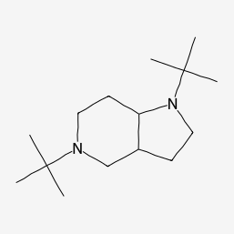 CC(C)(C)N1CCC2C(CCN2C(C)(C)C)C1